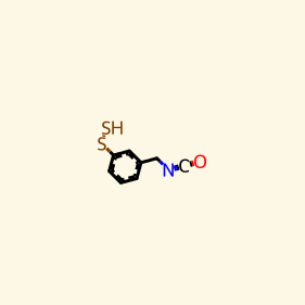 O=C=NCc1cccc(SS)c1